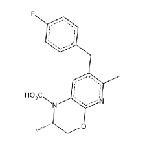 Cc1nc2c(cc1Cc1ccc(F)cc1)N(C(=O)O)[C@@H](C)CO2